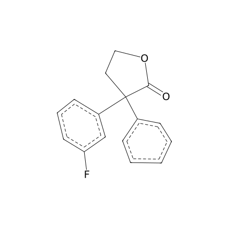 O=C1OCCC1(c1ccccc1)c1cccc(F)c1